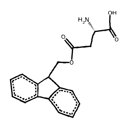 N[C@@H](CC(=O)OCC1c2ccccc2-c2ccccc21)C(=O)O